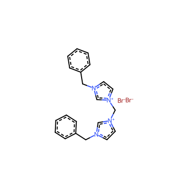 [Br-].[Br-].c1ccc(Cn2cc[n+](C[n+]3ccn(Cc4ccccc4)c3)c2)cc1